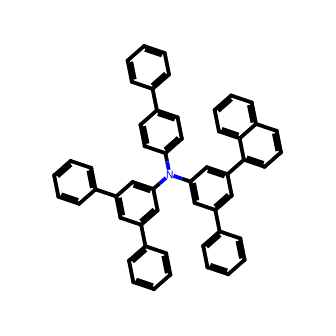 c1ccc(-c2ccc(N(c3cc(-c4ccccc4)cc(-c4ccccc4)c3)c3cc(-c4ccccc4)cc(-c4cccc5ccccc45)c3)cc2)cc1